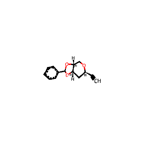 C#C[C@H]1C[C@@H]2OC(c3ccccc3)O[C@@H]2CO1